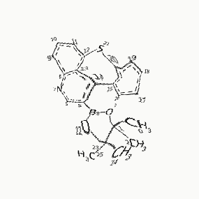 CC1(C)OB(c2cnc3cccc4c3c2-c2ccccc2S4)OC1(C)C